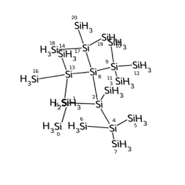 [SiH3][SiH2][Si]([SiH3])([Si]([SiH3])([SiH3])[SiH3])[Si]([Si]([SiH3])([SiH3])[SiH3])([Si]([SiH3])([SiH3])[SiH3])[Si]([SiH3])([SiH3])[SiH3]